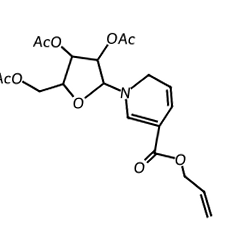 C=CCOC(=O)C1=CN(C2OC(COC(C)=O)C(OC(C)=O)C2OC(C)=O)CC=C1